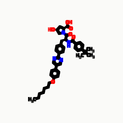 CCCCCCCOc1ccc(-c2cnc(-c3ccc(C[C@H](NC(=O)c4ccc(C(C)(C)C)cc4)C(=O)N4C[C@@H](O)C[C@H]4C(=O)O)cc3)nc2)cc1